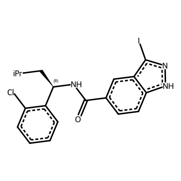 CC(C)C[C@@H](NC(=O)c1ccc2[nH]nc(I)c2c1)c1ccccc1Cl